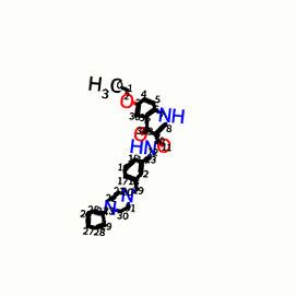 CCOc1ccc2[nH]cc(C(=O)NCc3cccc(CN4CCN(c5ccccc5)CC4)c3)c(=O)c2c1